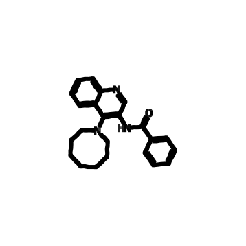 O=C(Nc1cnc2ccccc2c1N1CCCCCCC1)c1ccccc1